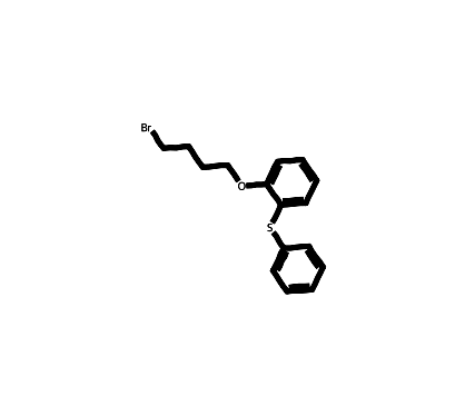 BrCCCCOc1ccccc1Sc1ccccc1